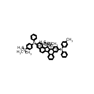 Cc1ccc(N(c2ccccc2)c2ccc3c4c(c5ccccc5c3c2)-c2ccc3cc(N(c5ccccc5)c5ccc([Si](C)(C)C)cc5)ccc3c2C4([Si](C)(C)C)[Si](C)(C)C)cc1